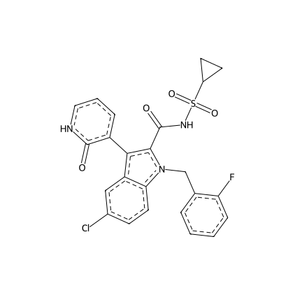 O=C(NS(=O)(=O)C1CC1)c1c(-c2ccc[nH]c2=O)c2cc(Cl)ccc2n1Cc1ccccc1F